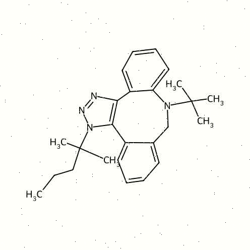 CCCC(C)(C)n1nnc2c1-c1ccccc1CN(C(C)(C)C)c1ccccc1-2